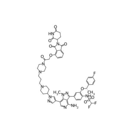 C[C@H](Oc1cc(-c2nn(C)c3c(-c4cnn(C5CCN(CCCN6CCN(C(=O)COc7cccc8c7C(=O)N(C7CCC(=O)NC7=O)C8=O)CC6)CC5)c4)cnc(N)c23)ccc1NS(=O)(=O)C(F)F)c1ccc(F)cc1